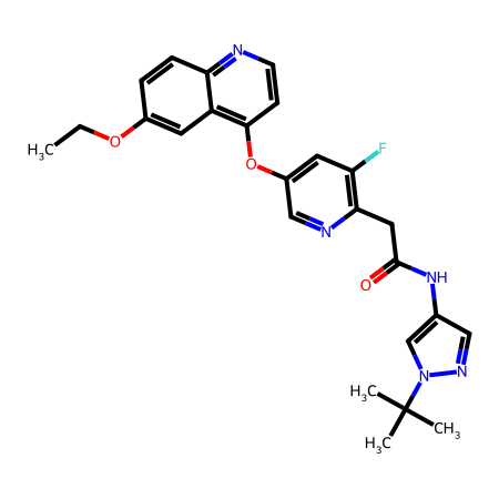 CCOc1ccc2nccc(Oc3cnc(CC(=O)Nc4cnn(C(C)(C)C)c4)c(F)c3)c2c1